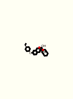 CC[C@H]1CC[C@@H](Oc2ccc3cc(CN4C5CCCC4CC(C(=O)O)C5)ccc3c2)CC1